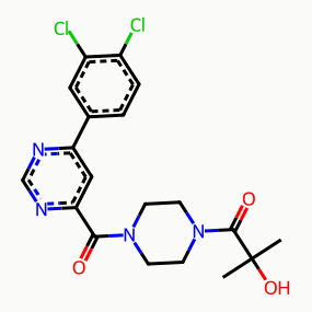 CC(C)(O)C(=O)N1CCN(C(=O)c2cc(-c3ccc(Cl)c(Cl)c3)ncn2)CC1